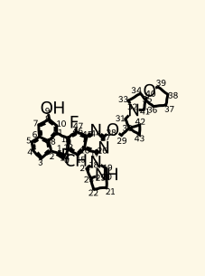 C#Cc1cccc2cc(O)cc(-c3c(F)cc4c(N5CC6CCC(C5)N6)nc(OCC5(CN6CCC7(CCCCO7)C6)CC5)nc4c3F)c12